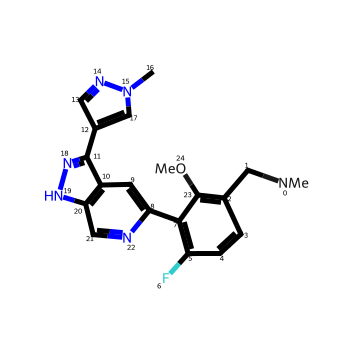 CNCc1ccc(F)c(-c2cc3c(-c4cnn(C)c4)n[nH]c3cn2)c1OC